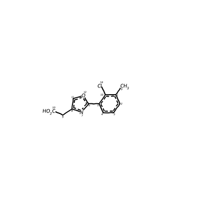 Cc1cccc(-c2nc(CC(=O)O)co2)c1Cl